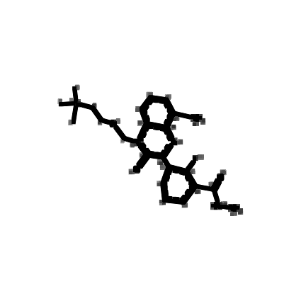 C[Si](C)(C)CCOCn1c(=O)c(-c2cccc(C(=O)NN)c2F)nc2c(N)cccc21